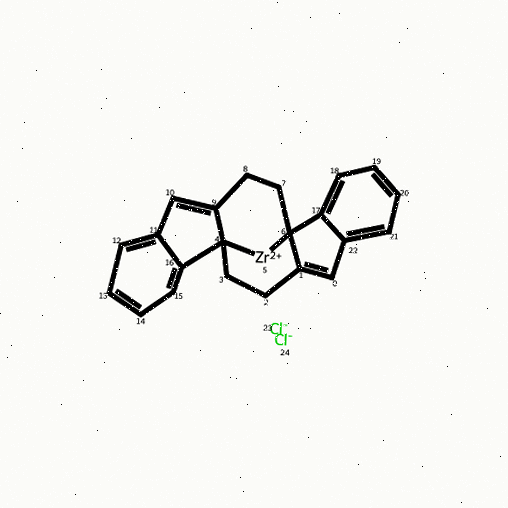 C1=C2CC[C]34[Zr+2][C]2(CCC3=Cc2ccccc24)c2ccccc21.[Cl-].[Cl-]